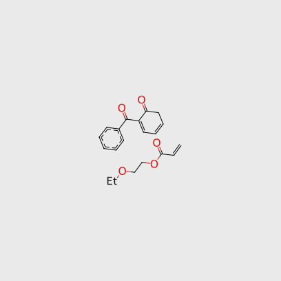 C=CC(=O)OCCOCC.O=C1CC=CC=C1C(=O)c1ccccc1